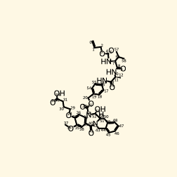 C=CCOC(=O)N[C@H](C(=O)N[C@@H](C)C(=O)Nc1ccc(COC(=O)N2c3cc(OCCCC(=O)O)c(OC)cc3C(=O)N3Cc4ccccc4C[C@H]3C2O)cc1)C(C)C